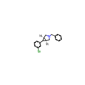 Brc1cccc(C2[C@H]3CN(Cc4ccccc4)C[C@@H]23)c1